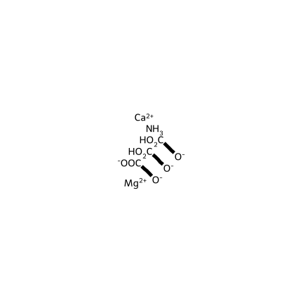 N.O=C([O-])O.O=C([O-])O.O=C([O-])[O-].[Ca+2].[Mg+2]